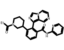 CCC(=O)N1CCCC(c2cccc(C(=O)Nc3ccccn3)c2-c2ncn3ccncc23)C1